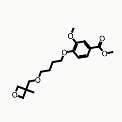 COC(=O)c1ccc(OCCCCOCC2(C)COC2)c(OC)c1